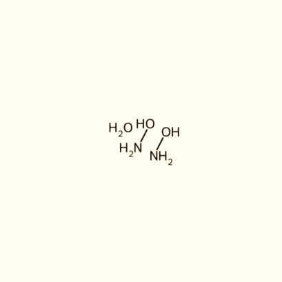 NO.NO.O